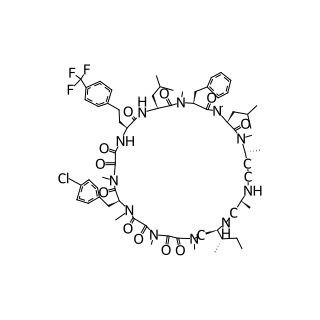 CC[C@H](C)[C@H]1CN(C)C(=O)C(=O)N(C)C(=O)C(=O)N(C)[C@@H](Cc2ccc(Cl)cc2)C(=O)N(C)C(=O)C(=O)N[C@@H](CCc2ccc(C(F)(F)F)cc2)C(=O)N[C@@H](CC(C)C)C(=O)N(C)[C@@H](Cc2ccccc2)C(=O)N(C)[C@@H](CC(C)C)C(=O)N(C)[C@H](C)CCN[C@@H](C)CN1